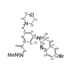 C=C(/C=N\NC)c1cc(CN2CCOCC2)cc(N[C@]2(C)N=c3ccc(Br)cc3=CC2C)c1